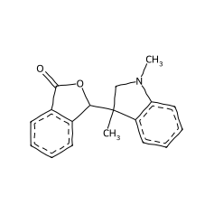 CN1CC(C)(C2OC(=O)c3ccccc32)c2ccccc21